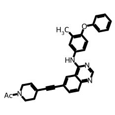 CC(=O)N1CC=C(C#Cc2ccc3ncnc(Nc4ccc(Oc5ccccc5)c(C)c4)c3c2)CC1